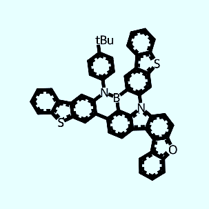 CC(C)(C)c1ccc(N2B3c4cc5c(cc4-n4c6ccc7oc8ccccc8c7c6c6ccc(c3c64)-c3cc4sc6ccccc6c4cc32)sc2ccccc25)cc1